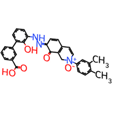 Cc1ccc([N+]2([O-])C=CC3=C(C2)C(=O)C(=NNc2cccc(-c4cccc(C(=O)O)c4)c2O)C=C3)cc1C